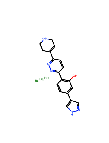 Cl.Cl.Cl.Oc1cc(-c2cn[nH]c2)ccc1-c1ccc(C2=CCNCC2)nn1